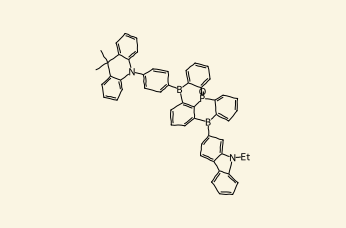 CCn1c2ccccc2c2ccc(B3c4ccccc4P4(=O)c5ccccc5B(c5ccc(N6c7ccccc7C(C)(C)c7ccccc76)cc5)c5cccc3c54)cc21